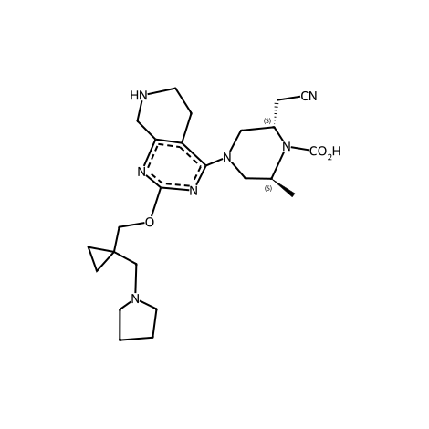 C[C@H]1CN(c2nc(OCC3(CN4CCCC4)CC3)nc3c2CCNC3)C[C@H](CC#N)N1C(=O)O